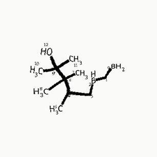 BCBCC(C)C(C)(C)C(C)(C)O